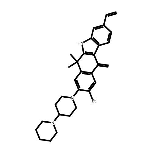 C=Cc1ccc2c3c([nH]c2c1)C(C)(C)c1cc(N2CCC(N4CCCCC4)CC2)c(CC)cc1C3=C